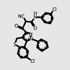 N#CC(C(=O)Nc1cccc(Cl)c1)C(=O)c1nn(-c2ccccc2)c2c1CSc1ccc(Cl)cc1-2